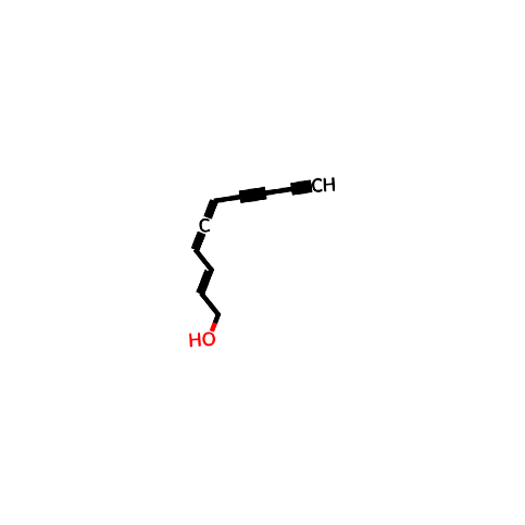 C#CC#CC=C=CC=CCO